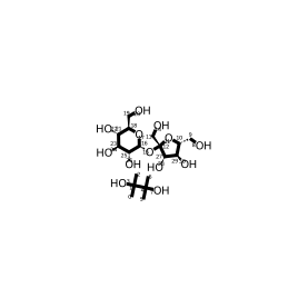 CC(C)(O)C(C)(C)O.OC[C@H]1O[C@@](CO)(O[C@H]2O[C@H](CO)[C@@H](O)[C@H](O)[C@H]2O)[C@@H](O)[C@@H]1O